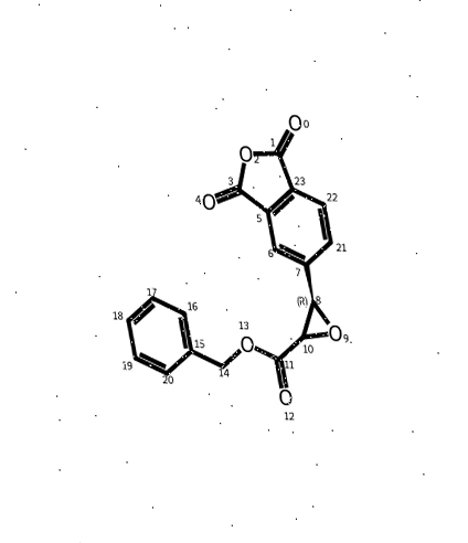 O=C1OC(=O)c2cc([C@H]3OC3C(=O)OCc3ccccc3)ccc21